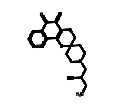 CCC(O)CN1CCC2(CC1)CSC1=C(O2)c2ccccc2C(=O)C1=O